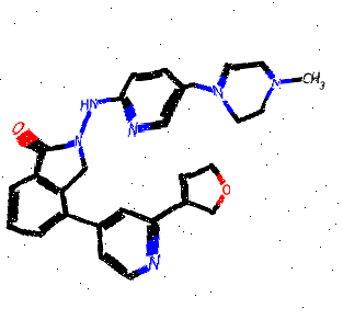 CN1CCN(c2ccc(NN3Cc4c(cccc4-c4ccnc(C5CCOC5)c4)C3=O)nc2)CC1